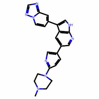 CN1CCN(c2ccc(-c3cnc4[nH]cc(-c5ccn6ncnc6c5)c4c3)cn2)CC1